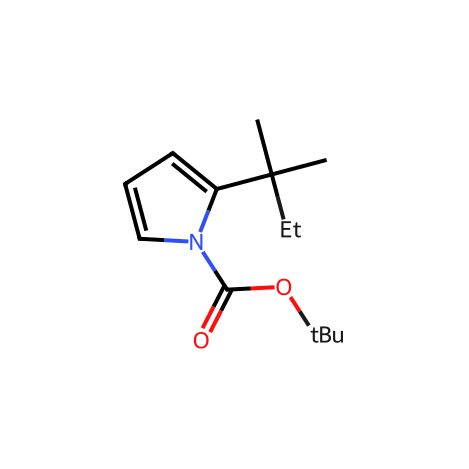 CCC(C)(C)c1cccn1C(=O)OC(C)(C)C